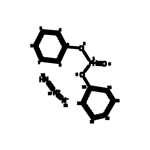 O=[PH](Oc1ccccc1)Oc1ccccc1.[N-]=[N+]=N